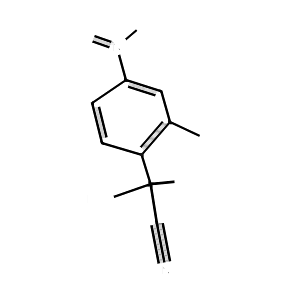 CC(C)(C#N)c1ccc([N+](=O)[O-])cc1Cl